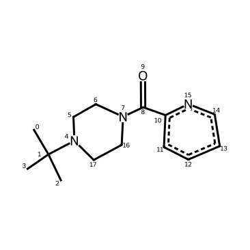 CC(C)(C)N1CCN(C(=O)c2ccccn2)CC1